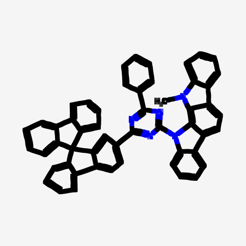 Cn1c2ccccc2c2ccc3c4ccccc4n(-c4nc(-c5ccccc5)nc(-c5ccc6c(c5)C5(c7ccccc7-c7ccccc75)c5ccccc5-6)n4)c3c21